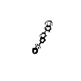 c1ccc2c(c1)OC(c1ccc3c(c1)OCC(c1ccc4c(c1)OCCO4)C3)O2